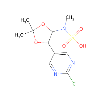 CN(C1OC(C)(C)OC1c1cnc(Cl)nc1)S(=O)(=O)O